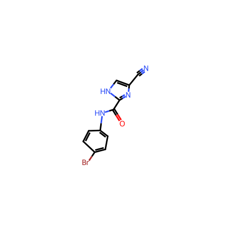 N#Cc1c[nH]c(C(=O)Nc2ccc(Br)cc2)n1